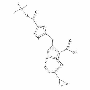 CC(C)(C)OC(=O)c1cn(Cc2cc3ccc(C4CC4)cn3c2C(=O)O)nn1